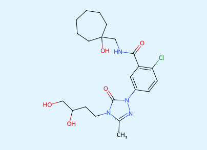 Cc1nn(-c2ccc(Cl)c(C(=O)NCC3(O)CCCCCC3)c2)c(=O)n1CCC(O)CO